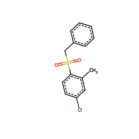 Cc1cc(Cl)ccc1S(=O)(=O)Cc1ccccc1